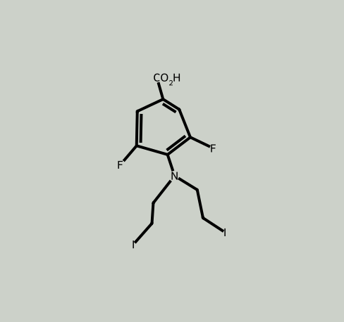 O=C(O)c1cc(F)c(N(CCI)CCI)c(F)c1